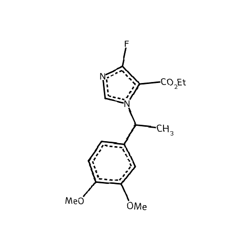 CCOC(=O)c1c(F)ncn1C(C)c1ccc(OC)c(OC)c1